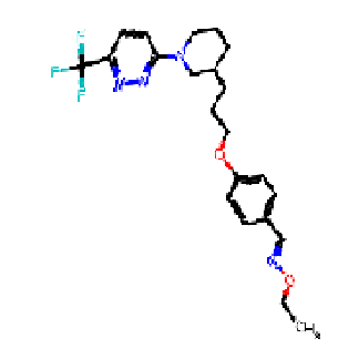 CCON=Cc1ccc(OCCCC2CCCN(c3ccc(C(F)(F)F)nn3)C2)cc1